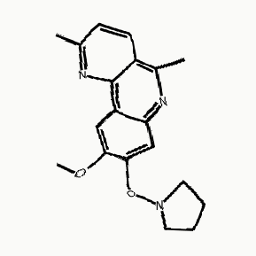 COc1cc2c(cc1ON1CCCC1)nc(C)c1ccc(C)nc12